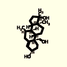 C[C@@H]1CC2=C[C@@H](O)CC[C@]2(CO)[C@H]2CC[C@@]3(C)[C@@H](CC[C@]3(C)O)[C@H]12